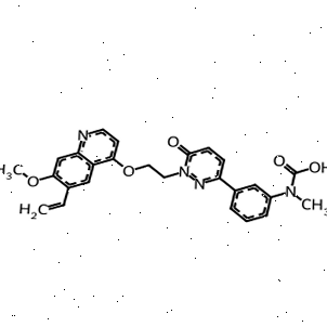 C=Cc1cc2c(OCCn3nc(-c4cccc(N(C)C(=O)O)c4)ccc3=O)ccnc2cc1OC